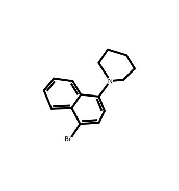 Brc1ccc(N2CCCCC2)c2ccccc12